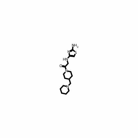 Nc1nc(NCC(=O)N2CCC(CN3CCCCC3)CC2)cs1